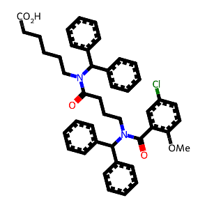 COc1ccc(Cl)cc1C(=O)N(CCCC(=O)N(CCCCCC(=O)O)C(c1ccccc1)c1ccccc1)C(c1ccccc1)c1ccccc1